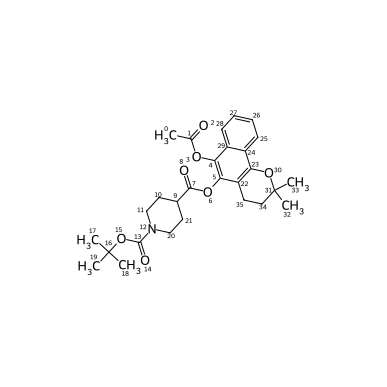 CC(=O)Oc1c(OC(=O)C2CCN(C(=O)OC(C)(C)C)CC2)c2c(c3ccccc13)OC(C)(C)CC2